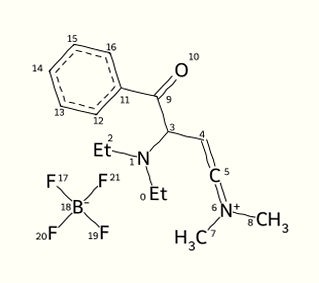 CCN(CC)C(C=C=[N+](C)C)C(=O)c1ccccc1.F[B-](F)(F)F